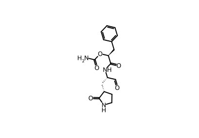 NC(=O)O[C@@H](Cc1ccccc1)C(=O)N[C@H](C=O)C[C@@H]1CCNC1=O